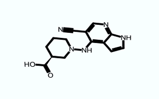 N#Cc1cnc2[nH]ccc2c1NN1CCC[C@H](C(=O)O)C1